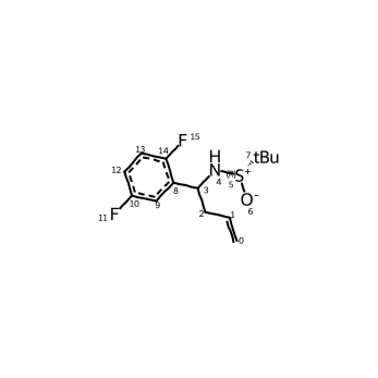 C=CCC(N[S@@+]([O-])C(C)(C)C)c1cc(F)ccc1F